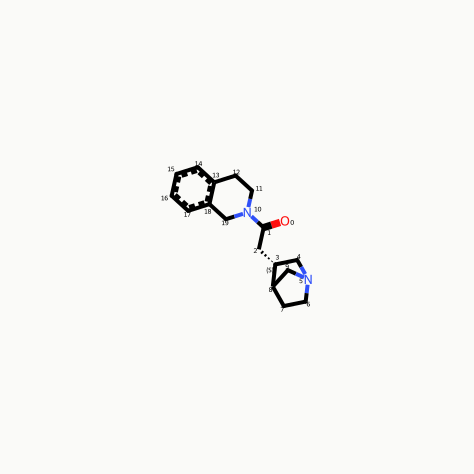 O=C(C[C@@H]1CN2CCC1C2)N1CCc2ccccc2C1